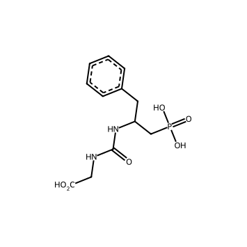 O=C(O)CNC(=O)NC(Cc1ccccc1)CP(=O)(O)O